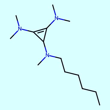 CCCCCCN(C)C1C(N(C)C)=C1N(C)C